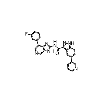 O=C(Nc1nc2c(-c3cccc(F)c3)cncc2[nH]1)c1n[nH]c2ccc(-c3cccnc3)cc12